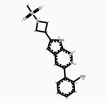 CS(=O)(=O)N1CC(c2cc3cc(-c4ccccc4O)nnc3[nH]2)C1